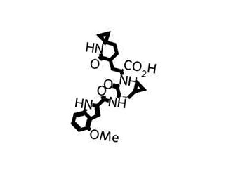 COc1cccc2[nH]c(C(=O)N[C@@H](CC3CC3)C(=O)N[C@@H](CC3CCC4(CC4)NC3=O)C(=O)O)cc12